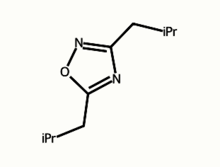 CC(C)Cc1noc(CC(C)C)n1